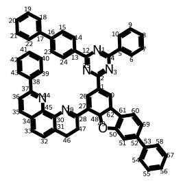 C1=C(c2nc(-c3ccccc3)nc(-c3ccc(-c4ccccc4)cc3)n2)C=C(C2=Nc3c(ccc4ccc(-c5ccccc5)nc34)CC2)C2Oc3cc(-c4ccccc4)ccc3C12